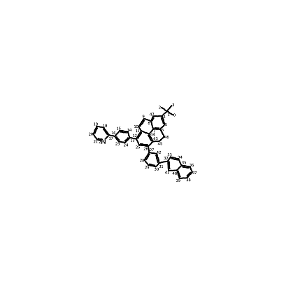 CC(C)(C)c1cc2c3c(ccc4c(-c5ccc(-c6ccccn6)cc5)cc(-c5cccc(-c6ccc7ccccc7c6)c5)c(c43)CC2)c1